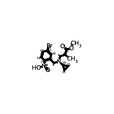 COC(=O)C(C)CN(Cc1cc(Br)ccc1[N+](=O)O)C1CC1